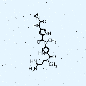 CN(CCC(=N)N)C(=O)c1cc(N(C)C(=O)c2cc(NC(=O)N3CC3)c[nH]2)c[nH]1